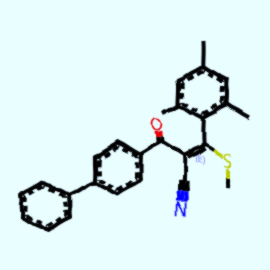 CS/C(=C(\C#N)C(=O)c1ccc(-c2ccccc2)cc1)c1c(C)cc(C)cc1C